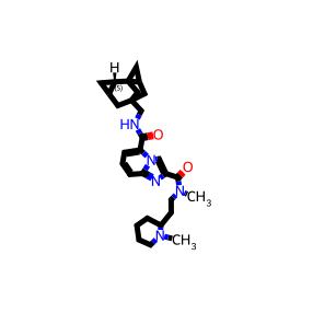 CN(CCC1CCCCN1C)C(=O)c1cn2c(C(=O)NCC34CC5C[C@@H]5C5(CC5C3)C4)cccc2n1